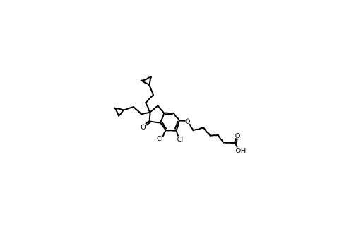 O=C(O)CCCCCOc1cc2c(c(Cl)c1Cl)C(=O)C(CCC1CC1)(CCC1CC1)C2